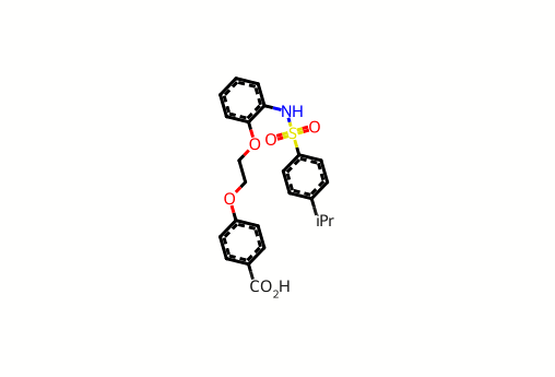 CC(C)c1ccc(S(=O)(=O)Nc2ccccc2OCCOc2ccc(C(=O)O)cc2)cc1